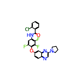 O=C(Nc1cc(F)c(Oc2ccc3ncc(N4CCCC4)nc3c2)c(F)c1F)c1ccccc1Cl